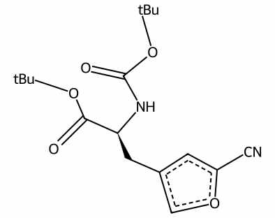 CC(C)(C)OC(=O)N[C@@H](Cc1coc(C#N)c1)C(=O)OC(C)(C)C